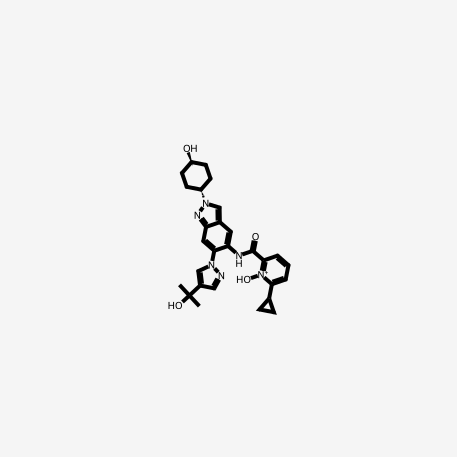 CC(C)(O)c1cnn(-c2cc3nn([C@H]4CC[C@H](O)CC4)cc3cc2NC(=O)c2cccc(C3CC3)[n+]2O)c1